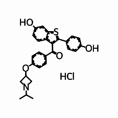 CC(C)N1CC(Oc2ccc(C(=O)c3c(-c4ccc(O)cc4)sc4cc(O)ccc34)cc2)C1.Cl